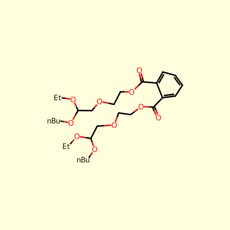 CCCCOC(COCCOC(=O)c1ccccc1C(=O)OCCOCC(OCC)OCCCC)OCC